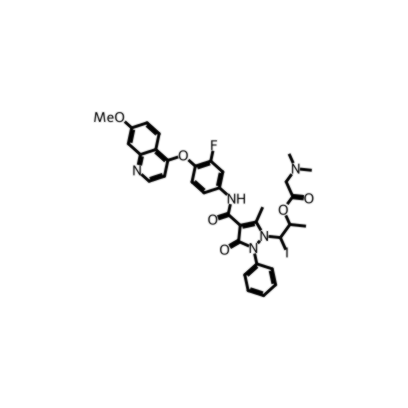 COc1ccc2c(Oc3ccc(NC(=O)c4c(C)n(C(I)C(C)OC(=O)CN(C)C)n(-c5ccccc5)c4=O)cc3F)ccnc2c1